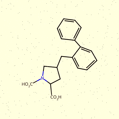 O=C(O)C1CC(Cc2ccccc2-c2ccccc2)CN1C(=O)O